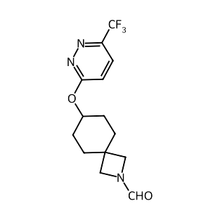 O=CN1CC2(CCC(Oc3ccc(C(F)(F)F)nn3)CC2)C1